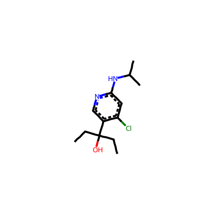 CCC(O)(CC)c1cnc(NC(C)C)cc1Cl